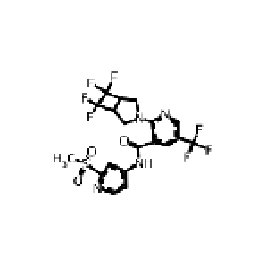 CS(=O)(=O)c1cc(NC(=O)c2cc(C(F)(F)F)cnc2N2CC3C(C2)C(F)(F)C3(F)F)ccn1